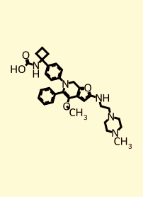 COC1=C(c2ccccc2)N(c2ccc(C3(NC(=O)O)CCC3)cc2)Cc2oc(NCCN3CCN(C)CC3)cc21